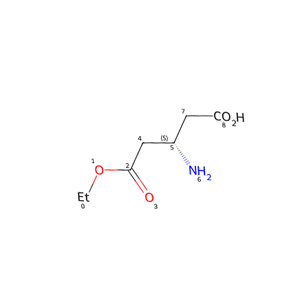 CCOC(=O)C[C@@H](N)CC(=O)O